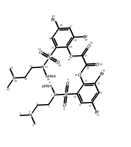 CCCCCCN(CCN(C)C)S(=O)(=O)c1cc(Br)cc(Br)c1OC(=O)C(=O)Oc1c(Br)cc(Br)cc1S(=O)(=O)N(CCCCCC)CCN(C)C